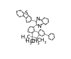 CC1(C)c2cc(-c3ccccc3)ccc2-c2c(-c3nc4ccccc4nc3-c3ccc4c(c3)sc3ccccc34)cccc2C1(C)C